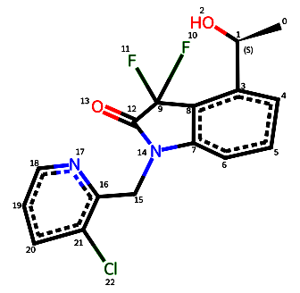 C[C@H](O)c1cccc2c1C(F)(F)C(=O)N2Cc1ncccc1Cl